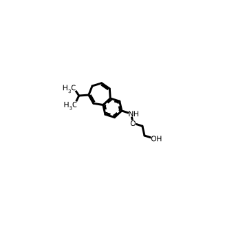 CC(C)C1=Cc2ccc(NOCCO)cc2C=CC1